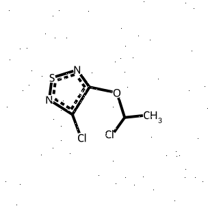 CC(Cl)Oc1nsnc1Cl